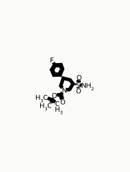 CC(C)(C)OC(=O)N1C[C@H](c2ccc(F)cc2)C[C@@H](S(N)(=O)=O)C1